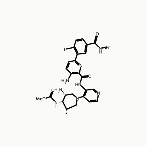 COC(=O)N[C@@H]1[C@H](N)CN(c2ccncc2NC(=O)c2nc(-c3cc(C(=O)NC(C)C)ccc3F)ccc2N)C[C@@H]1C